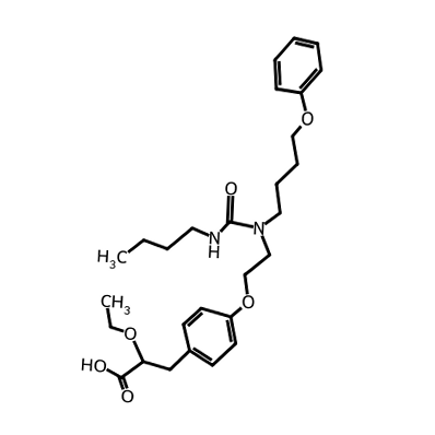 CCCCNC(=O)N(CCCCOc1ccccc1)CCOc1ccc(CC(OCC)C(=O)O)cc1